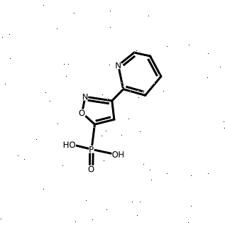 O=P(O)(O)c1cc(-c2ccccn2)no1